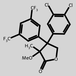 COC1(C)C(=O)OCC1(c1cc(C(F)(F)F)cc(C(F)(F)F)c1)c1ccc(Cl)c(Cl)c1